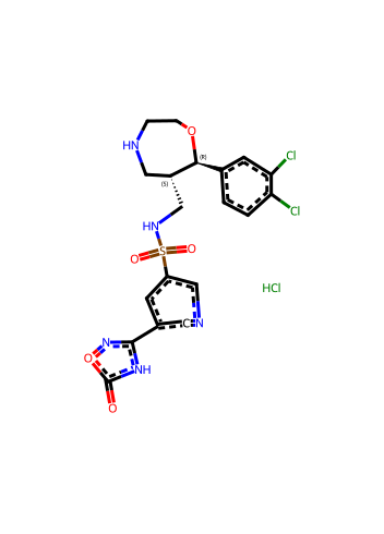 Cl.O=c1[nH]c(-c2cncc(S(=O)(=O)NC[C@@H]3CNCCO[C@H]3c3ccc(Cl)c(Cl)c3)c2)no1